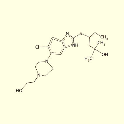 CCC(CC(C)(C)O)Sc1nc2cc(Cl)c(N3CCN(CCO)CC3)cc2[nH]1